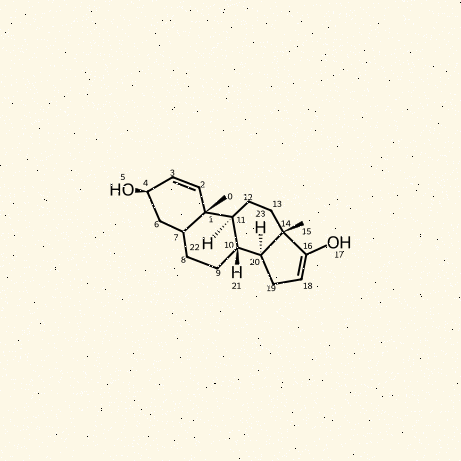 C[C@]12C=C[C@H](O)CC1CC[C@@H]1[C@@H]2CC[C@]2(C)C(O)=CC[C@@H]12